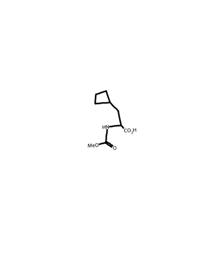 COC(=O)NC(CC1CCC1)C(=O)O